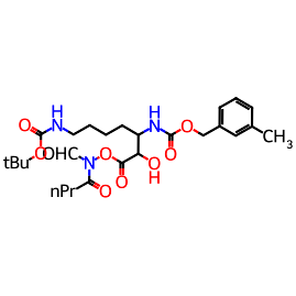 CCCC(=O)N(C=O)OC(=O)C(O)C(CCCCNC(=O)OC(C)(C)C)NC(=O)OCc1cccc(C)c1